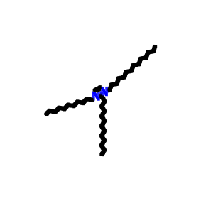 CCCCCCCCCCCCCCn1cc[n+](CCCCCCCCCCC)c1CCCCCCCCCCCC